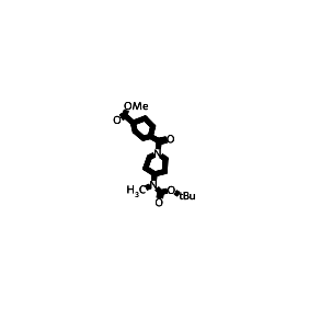 COC(=O)C1CCC(C(=O)N2CCC(N(C)C(=O)OC(C)(C)C)CC2)CC1